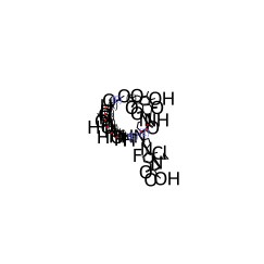 CO[C@H]1/C=C/O[C@@]2(C)Oc3c(C)c(O)c4c(c3C2=O)C(=O)C(N2CCC(NC3CCN(c5c(F)cc6c(=O)c(C(=O)O)cn(C7CC7)c6c5Cl)C3)CC2)=C(NC(=O)/C(C)=C\C=C\[C@H](C)[C@H](O)[C@@H](C)[C@@H](O)[C@@H](C)[C@H](OC(C)=O)[C@@H]1C)C4=O